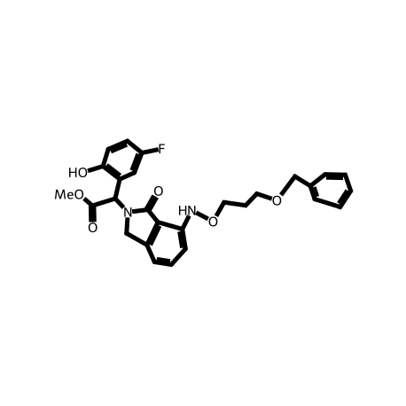 COC(=O)C(c1cc(F)ccc1O)N1Cc2cccc(NOCCCOCc3ccccc3)c2C1=O